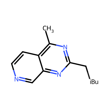 CCC(C)Cc1nc(C)c2ccncc2n1